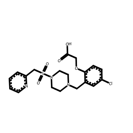 O=C(O)COc1ccc(Cl)cc1CN1CCN(S(=O)(=O)Cc2ccccn2)CC1